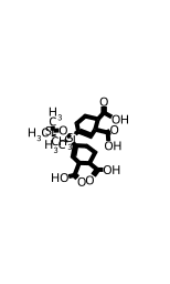 C[Si](C)(C)O[Si](C)(C1=CC(C(=O)O)C(C(=O)O)CC1)C1=CC(C(=O)O)C(C(=O)O)CC1